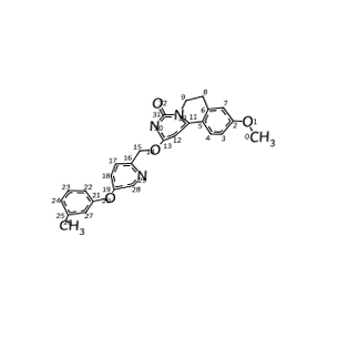 COc1ccc2c(c1)CCn1c-2cc(OCc2ccc(Oc3cccc(C)c3)cn2)nc1=O